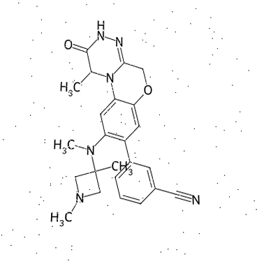 CC1C(=O)NN=C2COc3cc(-c4cccc(C#N)c4)c(N(C)C4(C)CN(C)C4)cc3N21